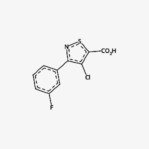 O=C(O)c1snc(-c2cccc(F)c2)c1Cl